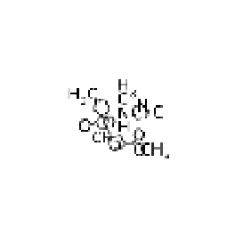 COC(=O)c1cccc(-c2oc3c(C(C)Nc4ccc(Cl)nc4)cc(C)cc3c(=O)c2C)c1